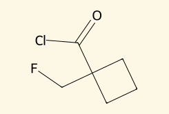 O=C(Cl)C1(CF)CCC1